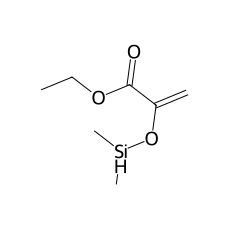 C=C(O[SiH](C)C)C(=O)OCC